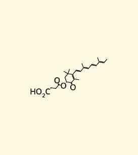 C/C=C(C)/C=C/C=C(C)/C=C/C1=C(C)C(=O)C(OC(=O)CCC(=O)O)CC1(C)C